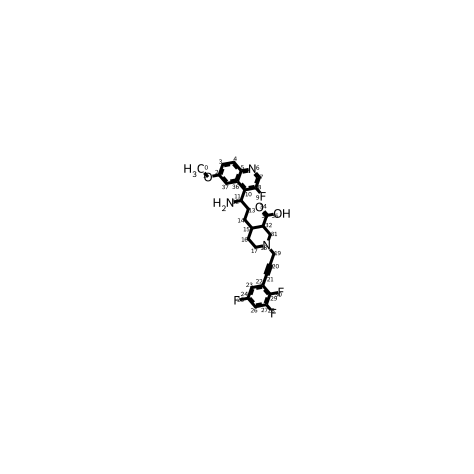 COc1ccc2ncc(F)c(C(N)CCC3CCN(CC#Cc4cc(F)cc(F)c4F)CC3C(=O)O)c2c1